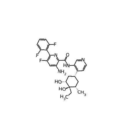 CC[C@]1(O)[C@H](O)C[C@H](c2ccncc2NC(=O)c2nc(-c3c(F)cccc3F)c(F)cc2N)C[C@@H]1C